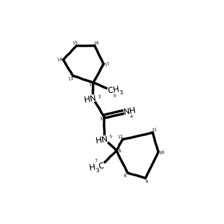 CC1(NC(=N)NC2(C)CCCCC2)CCCCC1